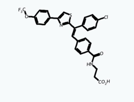 O=C(O)CCNC(=O)c1ccc(/C=C(\c2ccc(Cl)cc2)c2nc(-c3ccc(OC(F)(F)F)cc3)cs2)cc1